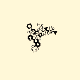 C=C[C@@H]1CC1(NC(=O)[C@@H]1C[C@@H](Oc2nc(-c3ccccn3)cc3c(Cl)c(OC)ccc23)CN1C(=O)C(CC(=O)N1CCCCC1)C(C)(C)C)C(=O)NS(=O)(=O)C1CC1